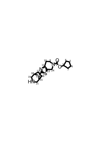 O=C(OC1CCCC1)N1CCc2nc(N3C4CCC3CNC4)sc2C1